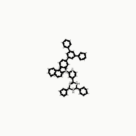 c1ccc(-c2cc(-c3ccccc3)cc(-c3ccc4c5c6ccccc6ccc5n(-c5cc(C6=NC(c7ccccc7)NC(c7ccccc7)N6)ccn5)c4c3)c2)cc1